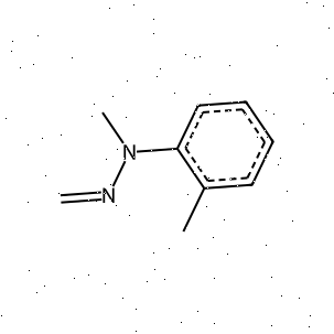 C=NN(C)c1ccccc1C